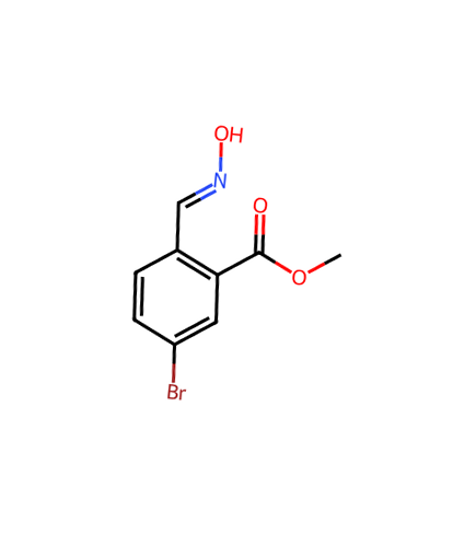 COC(=O)c1cc(Br)ccc1C=NO